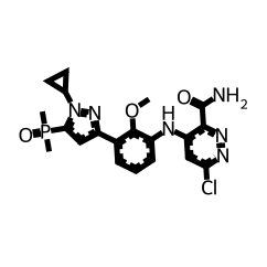 COc1c(Nc2cc(Cl)nnc2C(N)=O)cccc1-c1cc(P(C)(C)=O)n(C2CC2)n1